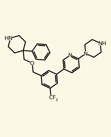 FC(F)(F)c1cc(COCC2(c3ccccc3)CCNCC2)cc(-c2ccc(N3CCNCC3)nc2)c1